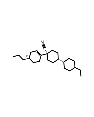 CCC[C@H]1CC=C([C@]2(C#N)CC[C@@H](C3CCC(CC)CC3)CC2)CC1